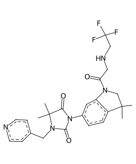 CC1(C)CN(C(=O)CNCC(F)(F)F)c2cc(N3C(=O)N(Cc4ccncc4)C(C)(C)C3=O)ccc21